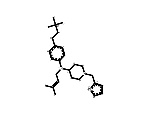 CC(C)=CCN(c1ccc(CCC(C)(C)C)cc1)C1CCN(Cc2ccc[nH]2)CC1